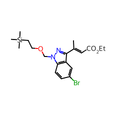 CCOC(=O)C=C(C)c1nn(COCC[Si](C)(C)C)c2ccc(Br)cc12